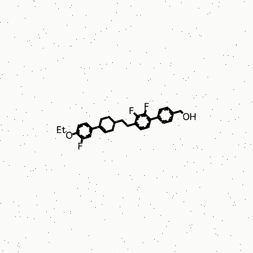 CCOc1ccc(C2=CCC(CCc3ccc(-c4ccc(CO)cc4)c(F)c3F)CC2)cc1F